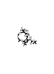 CC1CCCCCC(O)(C(F)(F)F)c2nnc(o2)-c2nc(c(C(F)(F)F)cc2NC(=O)OC(C)(C)C)O1